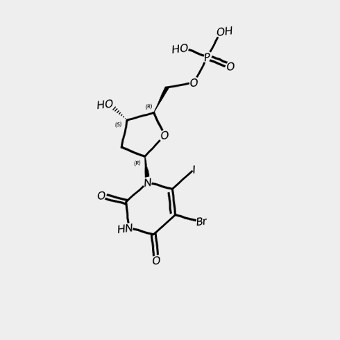 O=c1[nH]c(=O)n([C@H]2C[C@H](O)[C@@H](COP(=O)(O)O)O2)c(I)c1Br